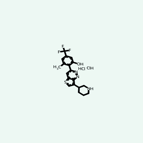 Cc1cc(C(F)(F)F)cc(O)c1-c1cc2scc(C3CCCNC3)c2nn1.Cl.Cl